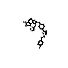 CCn1cncc1Cn1c(CN2CCC(c3ccn(OCc4ccc(F)cc4)n3)CC2)nc2ccc(C(=O)O)cc21